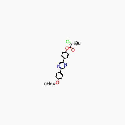 CCCCCCOc1ccc(-c2cnc(-c3ccc(OC(=O)[C@@H](Cl)[C@@H](C)CC)cc3)cn2)cc1